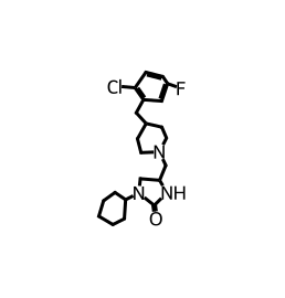 O=C1NC(CN2CCC(Cc3cc(F)ccc3Cl)CC2)CN1C1CCCCC1